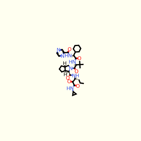 CCC[C@@H](NC(=O)[C@H]1[C@H]2CCC[C@@H]2CN1C(=O)[C@@H](NC(=O)[C@H](NC(=O)c1cnccn1)C1CCCCC1)C(C)(C)C)C(=O)C(=O)NC1CC1